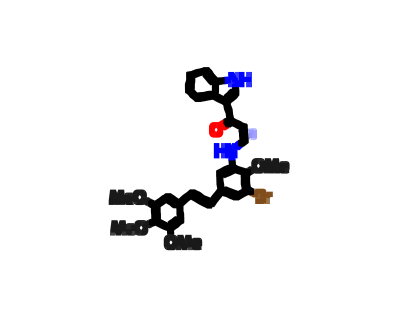 COc1cc(C=Cc2cc(Br)c(OC)c(N/C=C\C(=O)c3c[nH]c4ccccc34)c2)cc(OC)c1OC